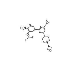 Nc1ncc(-c2cc(C3CCN(C4COC4)CC3)cc(C3CC3)n2)cc1OC(F)F